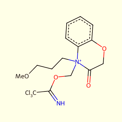 COCCC[N+]1(COC(=N)C(Cl)(Cl)Cl)C(=O)COc2ccccc21